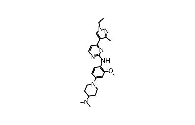 CCn1cc(-c2ccnc(Nc3ccc(N4CCC(N(C)C)CC4)cc3OC)n2)c(I)n1